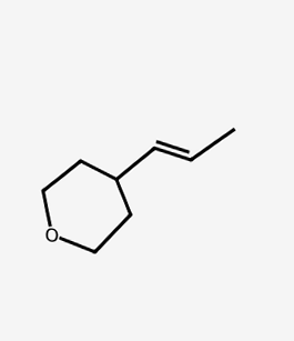 CC=CC1CCOCC1